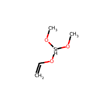 C=CO[SiH](OC)OC